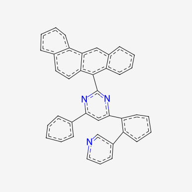 c1ccc(-c2cc(-c3ccccc3-c3cccnc3)nc(-c3c4ccccc4cc4c3ccc3ccccc34)n2)cc1